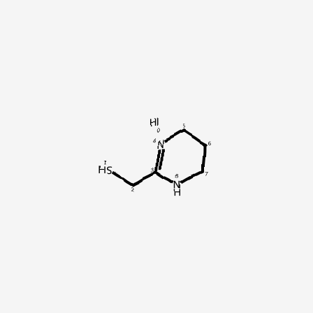 I.SCC1=NCCCN1